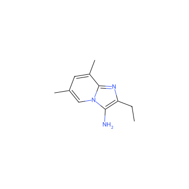 CCc1nc2c(C)cc(C)cn2c1N